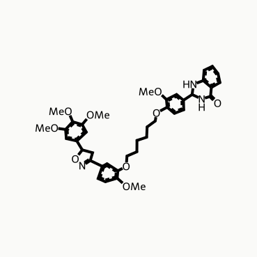 COc1cc(C2NC(=O)c3ccccc3N2)ccc1OCCCCCCOc1cc(C2=NOC(c3cc(OC)c(OC)c(OC)c3)C2)ccc1OC